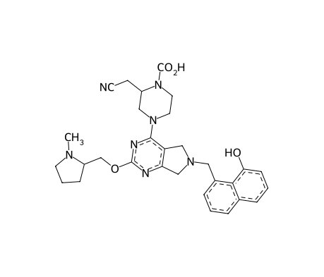 CN1CCCC1COc1nc2c(c(N3CCN(C(=O)O)C(CC#N)C3)n1)CN(Cc1cccc3cccc(O)c13)C2